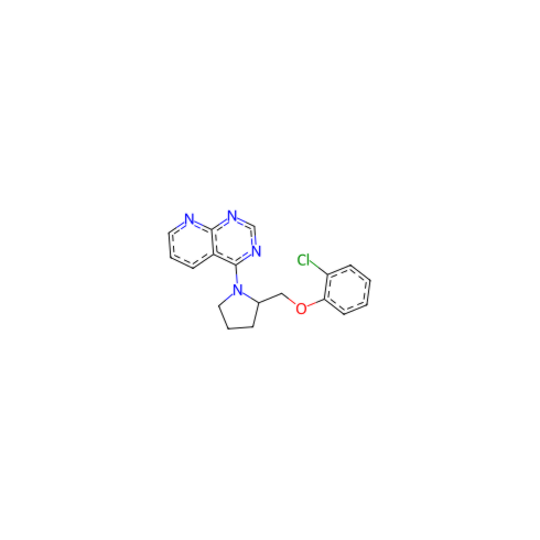 Clc1ccccc1OCC1CCCN1c1ncnc2ncccc12